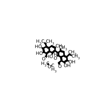 COC.Cc1cc2c(C(C)C)c(O)c(O)c(C=O)c2c(O)c1-c1c(C)cc2c(C(C)C)c(O)c(O)c(C=O)c2c1O